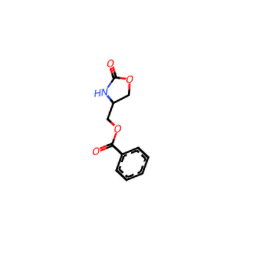 O=C1NC(COC(=O)c2ccccc2)CO1